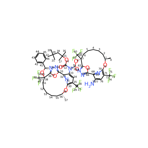 C[C@@H]1CCCCC[C@](OC(=O)N(C(=O)OC(C)(C)CC(C)(C)C)c2cc(C(F)(F)F)c3nc2-c2nnc(o2)[C@@](OCc2ccccc2)(C(F)(F)F)CCCCC[C@@H](C)O3)(C(F)(F)F)c2nnc(o2)-c2nc(c(C(F)(F)F)cc2N)O1